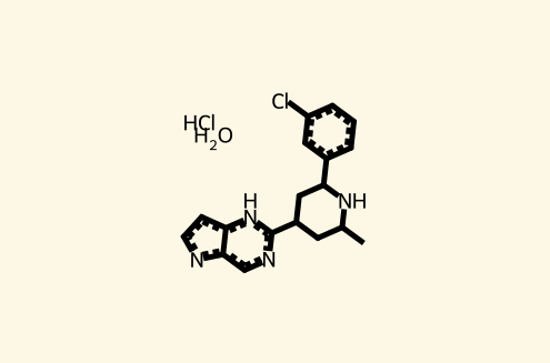 CC1CC(c2ncc3nccc-3[nH]2)CC(c2cccc(Cl)c2)N1.Cl.O